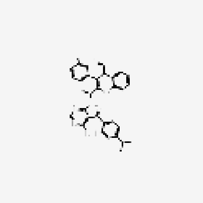 CC(C)c1ccc(-c2nn(C(C)C3=C(c4cccc(F)c4)C(C=O)c4ccccc4O3)c3ncnc(N)c23)cc1